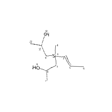 CC=C[Si](C)(CC(C)O)CC(C)O